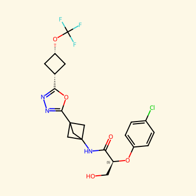 O=C(NC12CC(c3nnc([C@H]4C[C@@H](OC(F)(F)F)C4)o3)(C1)C2)[C@H](CO)Oc1ccc(Cl)cc1